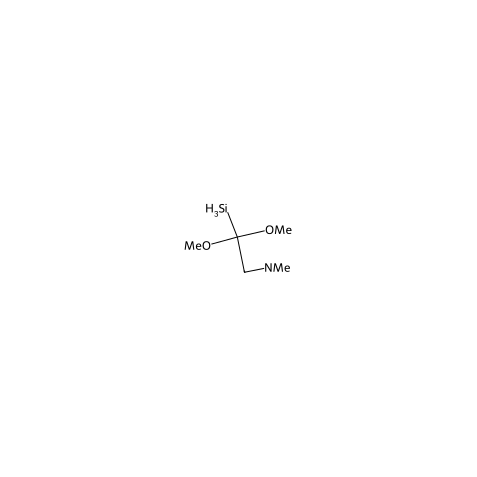 CNCC([SiH3])(OC)OC